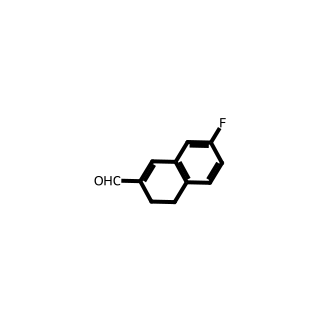 O=CC1=Cc2cc(F)ccc2CC1